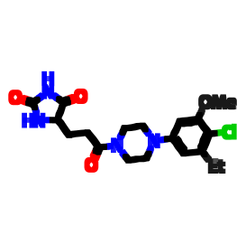 CCc1cc(N2CCN(C(=O)CCC3NC(=O)NC3=O)CC2)cc(OC)c1Cl